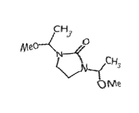 COC(C)N1CCN(C(C)OC)C1=O